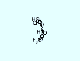 O=C(NCCCCOc1ccc(O)c(Cl)c1)c1ccc(OC(F)(F)F)cc1